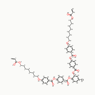 C=CC(=O)OCCCCCCCCOc1ccc(C(=O)Oc2ccc(C(=O)Oc3ccc(CC)cc3OC(=O)c3ccc(OC(=O)c4ccc(OCCCCCCCCOC(=O)C=C)cc4)cc3)cc2)cc1